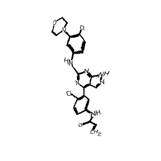 C=CC(=O)Nc1ccc(Cl)c(-c2nc(Nc3ccc(Cl)c(N4CCOCC4)c3)nc3[nH]ncc23)c1